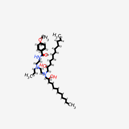 CCCCCCCCCCC(O)CN(CCN(CCC)CCNC(=O)c1ccc(OC)cc1)CC(O)CCCCCCCCCC